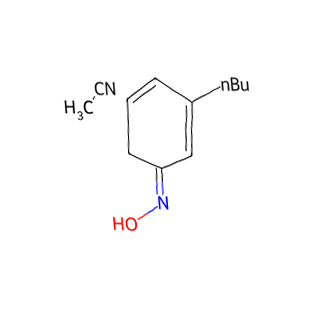 CC#N.CCCCC1=CC(=NO)CC=C1